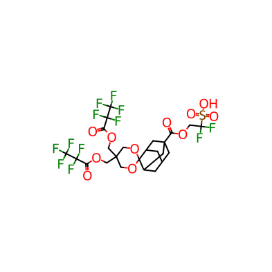 O=C(OCC(F)(F)S(=O)(=O)O)C12CC3CC(C1)C1(OCC(COC(=O)C(F)(F)C(F)(F)F)(COC(=O)C(F)(F)C(F)(F)F)CO1)C(C3)C2